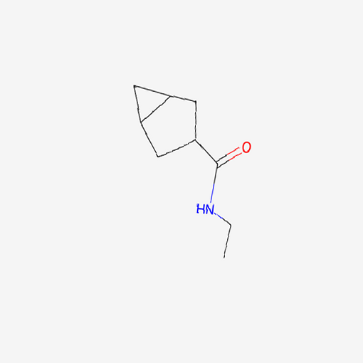 CCNC(=O)C1CC2CC2C1